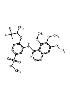 CNS(=O)(=O)c1ccc(OC(C)C(F)(F)F)c(Nc2ncnc3cc(OC)c(OC)c(OC)c23)c1